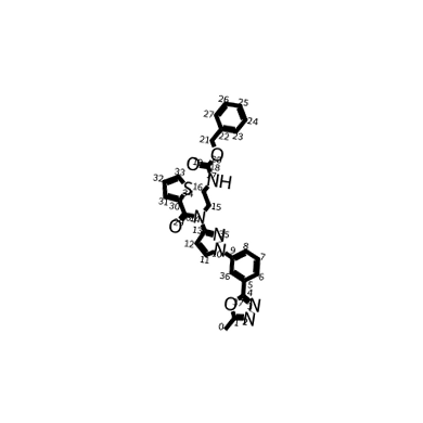 Cc1nnc(-c2cccc(-n3ccc(N(CCNC(=O)OCc4ccccc4)C(=O)c4cccs4)n3)c2)o1